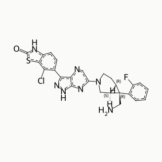 NC[C@]1(c2ccccc2F)[C@@H]2CCN(c3cnc4c(-c5ccc6[nH]c(=O)sc6c5Cl)n[nH]c4n3)C[C@@H]21